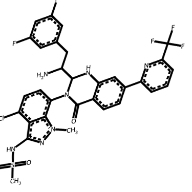 Cn1nc(NS(C)(=O)=O)c2c(Cl)ccc(N3C(=O)c4ccc(-c5cccc(C(F)(F)F)n5)cc4NC3C(N)Cc3cc(F)cc(F)c3)c21